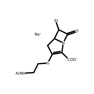 CCC1C(=O)N2C(C(=O)[O-])=C(SCCNC(C)=O)CC12.[Na+]